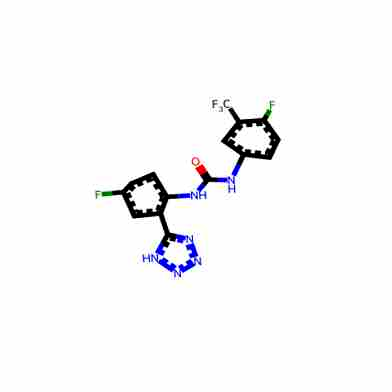 O=C(Nc1ccc(F)c(C(F)(F)F)c1)Nc1ccc(F)cc1-c1nnn[nH]1